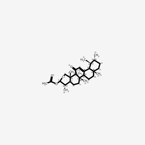 CC(=O)OC1CC[C@@]2(C)C(CC[C@]3(C)C2C(=O)C=C2C4[C@@H](C)[C@H](C)CC[C@]4(C)CC[C@]23C)[C@@H]1C